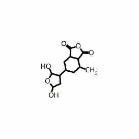 CC1CC(C2CC(O)OC2O)CC2C(=O)OC(=O)C12